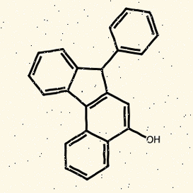 Oc1cc2c(c3ccccc13)-c1ccccc1C2c1ccccc1